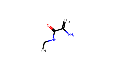 C=C(N)C(=O)NCC#N